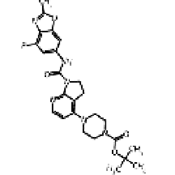 Cc1nc2c(F)cc(NC(=O)N3CCc4c(N5CCN(C(=O)OC(C)(C)C)CC5)ccnc43)cc2o1